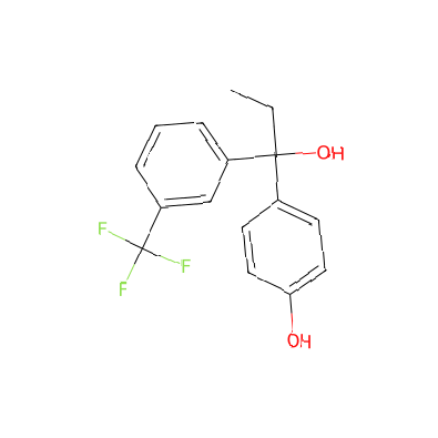 CCC(O)(c1ccc(O)cc1)c1cccc(C(F)(F)F)c1